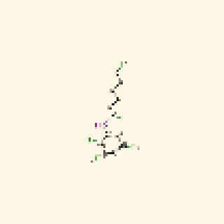 FCCCCCC(F)Pc1cc(F)cc(F)c1F